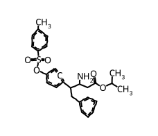 Cc1ccc(S(=O)(=O)Oc2ccc(C(Cc3ccccc3)C(N)CC(=O)OC(C)C)cc2)cc1